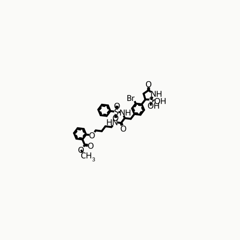 COC(=O)c1ccccc1OCCCCNC(=O)C(Cc1ccc(C2CC(=O)NS2(O)O)c(Br)c1)NS(=O)(=O)c1ccccc1